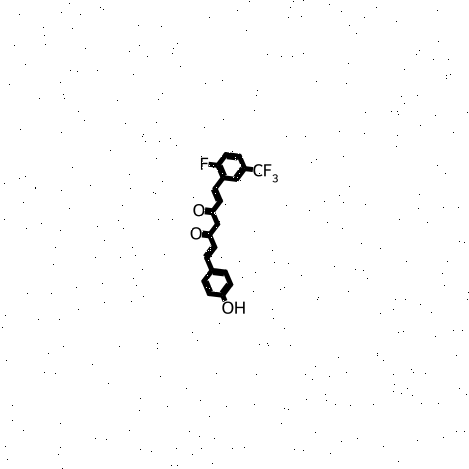 O=C(C=Cc1ccc(O)cc1)CC(=O)C=Cc1cc(C(F)(F)F)ccc1F